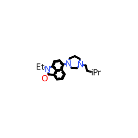 CCN1C(=O)c2cccc3c(N4CCCN(CCC(C)C)CC4)ccc1c23